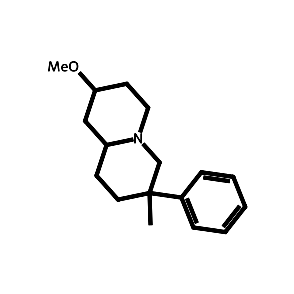 COC1CCN2CC(C)(c3ccccc3)CCC2C1